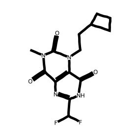 Cn1c(=O)c2nc(C(F)F)[nH]c(=O)c2n(CCC2CCC2)c1=O